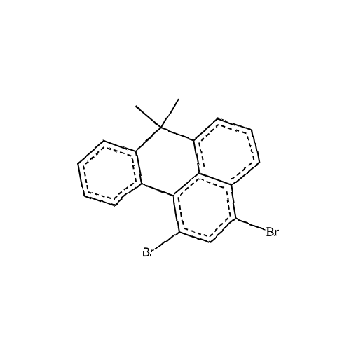 CC1(C)c2ccccc2-c2c(Br)cc(Br)c3cccc1c23